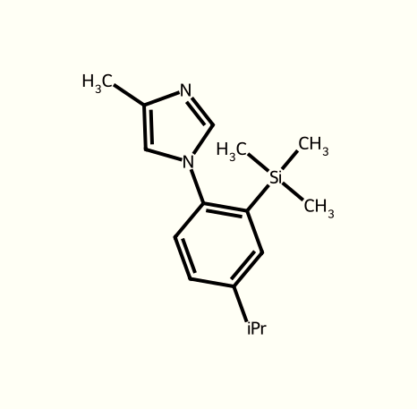 Cc1cn(-c2ccc(C(C)C)cc2[Si](C)(C)C)cn1